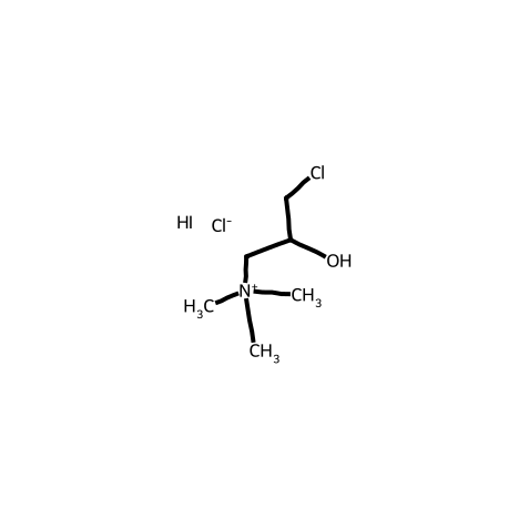 C[N+](C)(C)CC(O)CCl.I.[Cl-]